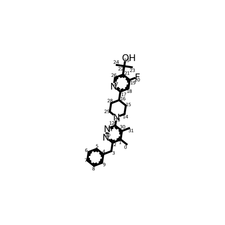 Cc1c(Cc2ccccc2)nnc(N2CCC(c3cc(F)c(C(C)(C)O)cn3)CC2)c1C